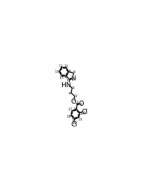 O=C(OCCCNC1=NCc2ccccc21)c1ccc(Cl)cc1Cl